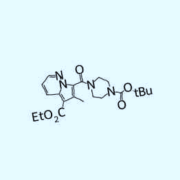 CCOC(=O)c1c(C)c(C(=O)N2CCN(C(=O)OC(C)(C)C)CC2)n2ncccc12